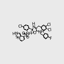 O=C(N[C@@H](Cc1ccc(Cl)c(Cl)c1)C(=O)NCc1ccc(F)cc1)c1ccc(Cl)cc1NS(=O)(=O)C1=CC=CN2SNC=C12